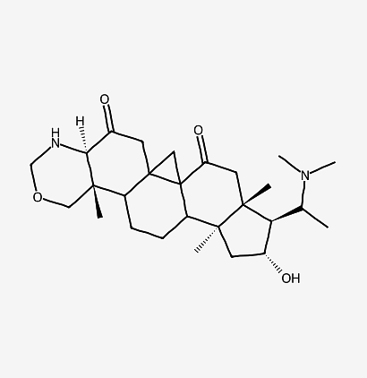 CC([C@H]1[C@H](O)C[C@@]2(C)C3CCC4C5(CC(=O)[C@@H]6NCOC[C@@]46C)CC35C(=O)C[C@]12C)N(C)C